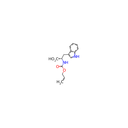 C=CCOC(=O)N[C@H](Cc1c[nH]c2ccccc12)C(=O)O